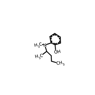 CCCC(C)N(C)c1ccccc1O